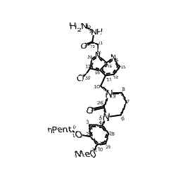 CCCCCOc1cc(N2CCCN(Cc3ccnc4c3c(Cl)cn4CC(=O)NN)C2=O)ccc1OC